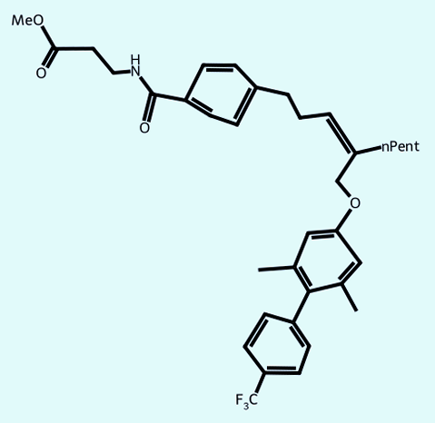 CCCCCC(=CCCc1ccc(C(=O)NCCC(=O)OC)cc1)COc1cc(C)c(-c2ccc(C(F)(F)F)cc2)c(C)c1